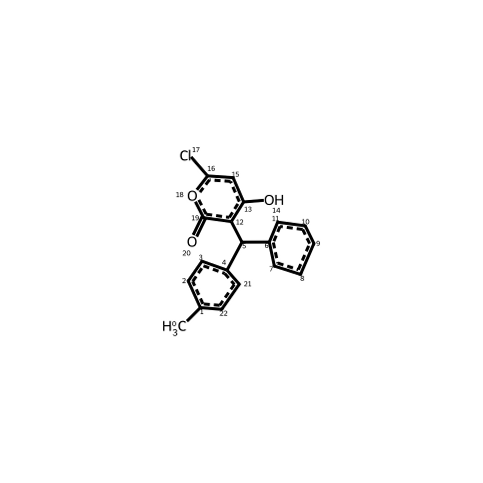 Cc1ccc(C(c2ccccc2)c2c(O)cc(Cl)oc2=O)cc1